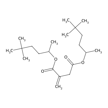 C=C(CC(=O)OC(C)CCC(C)(C)C)C(=O)OC(C)CCC(C)(C)C